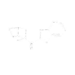 Cn1c(C(=O)N2CC3CC(C2)N3)cc2ccccc21